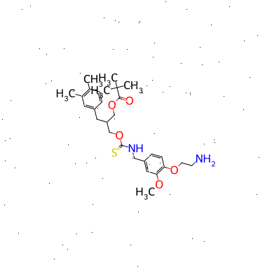 COc1cc(CNC(=S)OCC(COC(=O)C(C)(C)C)Cc2ccc(C)c(C)c2)ccc1OCCN